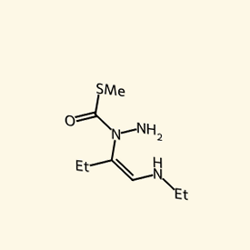 CCN/C=C(/CC)N(N)C(=O)SC